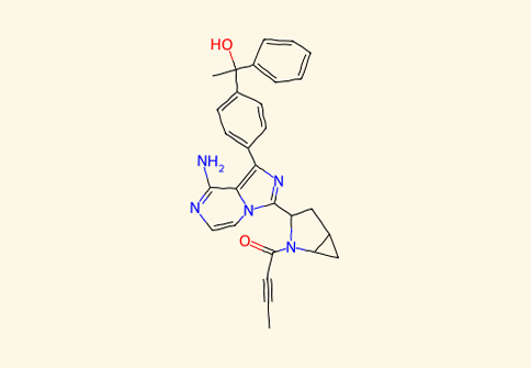 CC#CC(=O)N1C(c2nc(-c3ccc(C(C)(O)c4ccccc4)cc3)c3c(N)nccn23)CC2CC21